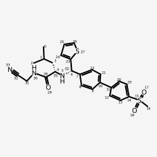 CC(C)C[C@H](N[C@@H](c1ccc(-c2ccc(S(C)(=O)=O)cc2)cc1)c1cccs1)C(=O)NCC#N